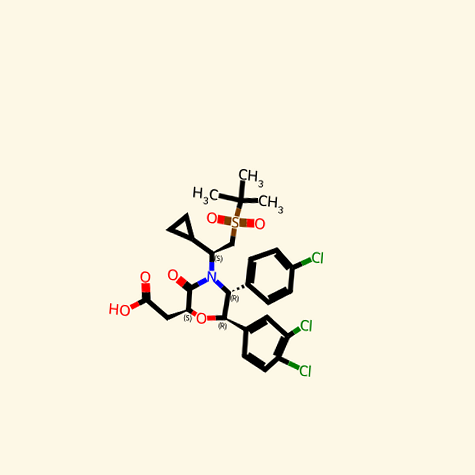 CC(C)(C)S(=O)(=O)C[C@H](C1CC1)N1C(=O)[C@H](CC(=O)O)O[C@H](c2ccc(Cl)c(Cl)c2)[C@H]1c1ccc(Cl)cc1